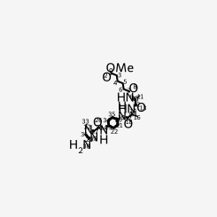 COC(=O)CCCCC(=O)N[C@@H](C)C(=O)N[C@@H](C)C(=O)Nc1ccc(NC(=O)c2nc(N)cn2C)cc1